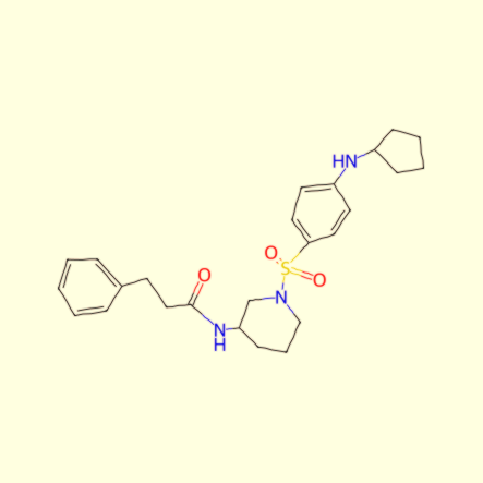 O=C(CCc1ccccc1)NC1CCCN(S(=O)(=O)c2ccc(NC3CCCC3)cc2)C1